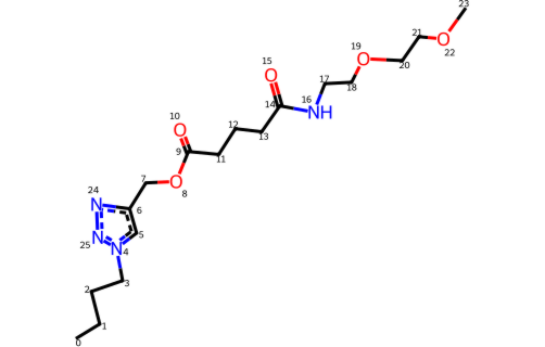 CCCCn1cc(COC(=O)CCCC(=O)NCCOCCOC)nn1